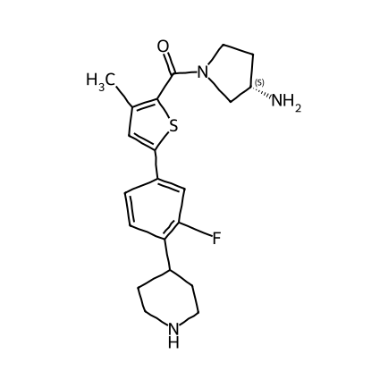 Cc1cc(-c2ccc(C3CCNCC3)c(F)c2)sc1C(=O)N1CC[C@H](N)C1